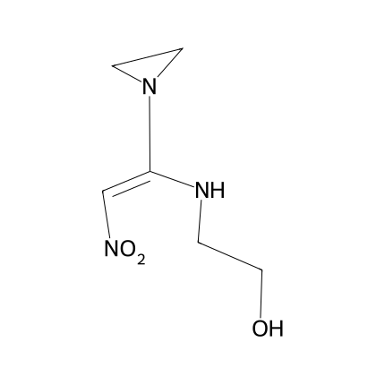 O=[N+]([O-])/C=C(\NCCO)N1CC1